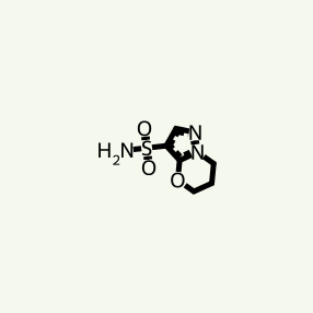 NS(=O)(=O)c1cnn2c1OCCC2